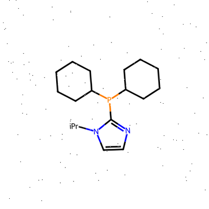 CC(C)n1ccnc1P(C1CCCCC1)C1CCCCC1